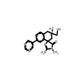 CN1C(=O)C2(C[C@@](C)(CO)Cc3ccc(-c4cncnc4)cc32)N=C1N